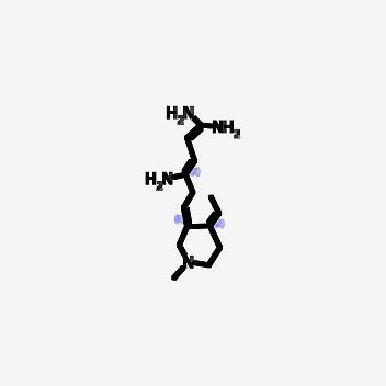 C/C=C1/CCN(C)C/C1=C/C/C(N)=C/C=C(N)N